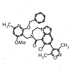 COc1cc(C)nc(OCc2ccccc2)c1CN1CCn2ccc3cc(-c4c(C)noc4C)c(Cl)c(c32)C1=O